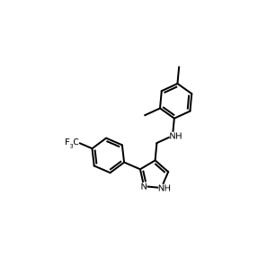 Cc1ccc(NCc2c[nH]nc2-c2ccc(C(F)(F)F)cc2)c(C)c1